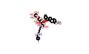 CC1O[C@@H](OC2C(O)[C@@H](NC(=O)CCCCCNC(=O)c3ccc(I)cc3)C(CO)O[C@H]2OC(=O)[C@]23CCC(C)(C)CC2C2=CCC4C5(C)CC[C@H](O)C(C)(C=O)C(CCC4(C)C2(C)CC3O)C5)C(CO)C(O)[C@H]1O[C@@H]1OC[C@@H](O)C(O)C1O